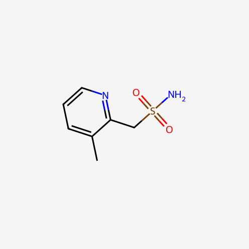 Cc1cccnc1CS(N)(=O)=O